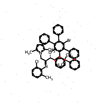 Cc1cccc(Cl)c1N=C(Cn1c(C)ccc1C)[C@@H](/C=C/C(C)(C)c1ccccc1)Oc1c(-c2ccccc2)c(-c2ccccc2)c(Br)c(-c2ccccc2)c1-c1ccccc1